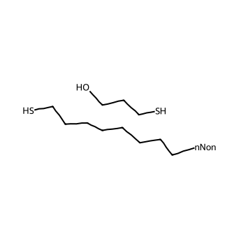 CCCCCCCCCCCCCCCCCS.OCCCS